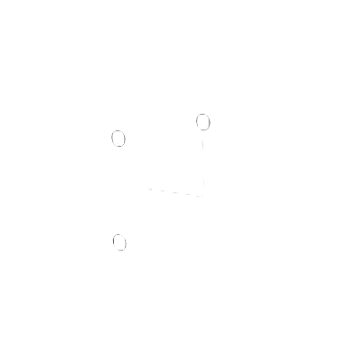 CC1OCOC1=O